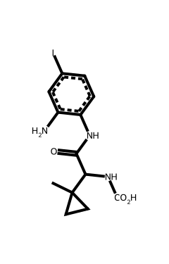 CC1(C(NC(=O)O)C(=O)Nc2ccc(I)cc2N)CC1